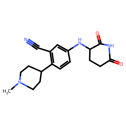 CN1CCC(c2ccc(NC3CCC(=O)NC3=O)cc2C#N)CC1